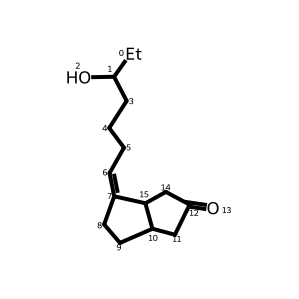 CCC(O)CCCC=C1CCC2CC(=O)CC12